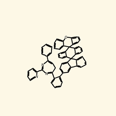 C1=C(c2ccccc2)N=C(c2ccccn2)N=C(c2ccccc2-c2ccc3c(c2)-c2ccccc2C32c3ccccc3C3(c4ccccc4Oc4ccccc43)c3ccccc32)C1